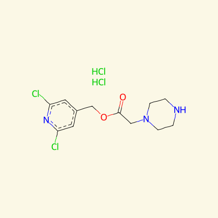 Cl.Cl.O=C(CN1CCNCC1)OCc1cc(Cl)nc(Cl)c1